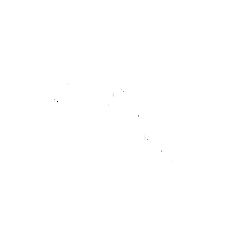 CC(C)(C)OC(=O)NN(C(=O)c1ccc(N2CCN(C(=O)OC(C)(C)C)CC2)nc1)c1cccc(-c2cccnc2)c1